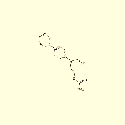 NC(=O)OCCC(CO)c1ccc(-c2ccccc2)cc1